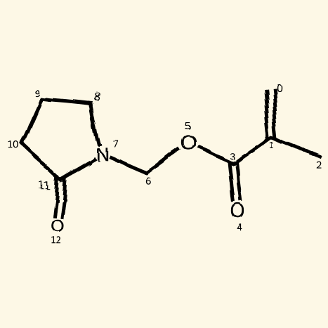 C=C(C)C(=O)OCN1CCCC1=O